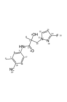 Cc1cc(NC(=O)C(C)(O)Cn2ccc(F)n2)ccc1C#N